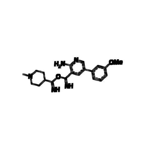 COc1cccc(-c2cnc(N)c(C(=N)OC(=N)C3CCN(C)CC3)c2)c1